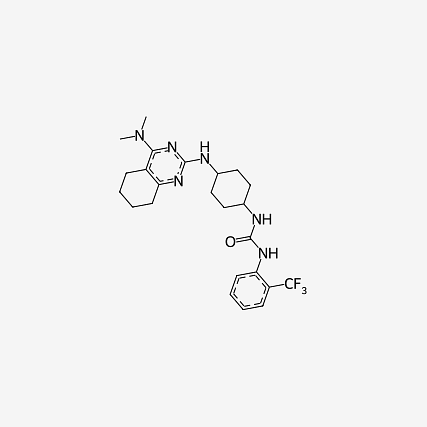 CN(C)c1nc(NC2CCC(NC(=O)Nc3ccccc3C(F)(F)F)CC2)nc2c1CCCC2